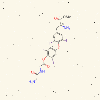 COC(=O)[C@@H](N)Cc1cc(I)c(Oc2cc(I)c(OC(=O)CNC(=O)CN)c(I)c2)c(I)c1